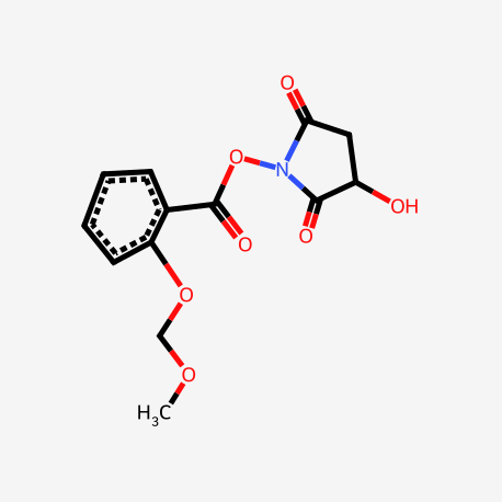 COCOc1ccccc1C(=O)ON1C(=O)CC(O)C1=O